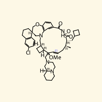 CO[C@]1(CN2CCN3CCCC[C@@H]3C2)/C=C/C[C@H](C)[C@@H](CC2CCC2)S(=O)(=O)NC(=O)c2ccc3c(c2)N(C[C@@H]2CC[C@H]21)C[C@@]1(CCCc2cc(Cl)ccc21)CO3